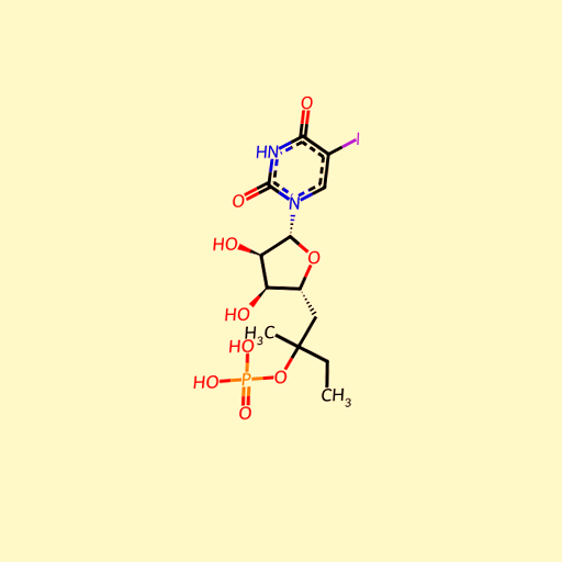 CCC(C)(C[C@H]1O[C@@H](n2cc(I)c(=O)[nH]c2=O)[C@H](O)[C@@H]1O)OP(=O)(O)O